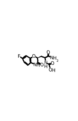 NC(=O)C(C[C@@H]1Oc2cc(F)ccc2NC1=O)NC(=O)O